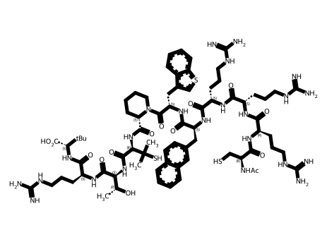 CC(=O)N[C@@H](CS)C(=O)N[C@H](CCCNC(=N)N)C(=O)N[C@@H](CCCNC(=N)N)C(=O)N[C@@H](CCCNC(=N)N)C(=O)N[C@@H](Cc1ccc2ccccc2c1)C(=O)N[C@@H](Cc1csc2ccccc12)C(=O)N1CCCC[C@H]1C(=O)N[C@H](C(=O)N[C@H](C(=O)N[C@@H](CCCNC(=N)N)C(=O)N[C@H](C(=O)O)C(C)(C)C)[C@@H](C)O)C(C)(C)S